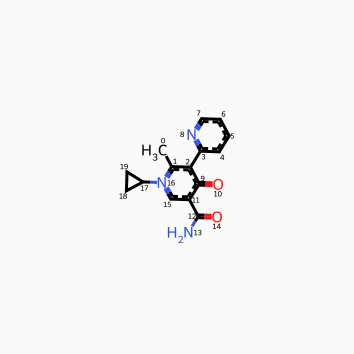 Cc1c(-c2ccccn2)c(=O)c(C(N)=O)cn1C1CC1